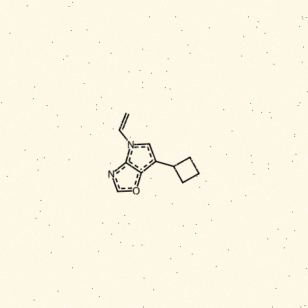 C=Cn1cc(C2CCC2)c2ocnc21